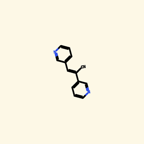 N#C/C(=C\c1cccnc1)c1cccnc1